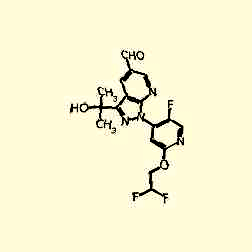 CC(C)(O)c1nn(-c2cc(OCC(F)F)ncc2F)c2ncc(C=O)cc12